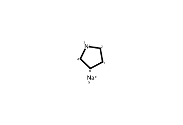 C1CC[N-]C1.[Na+]